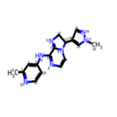 Cc1cc(NC2=NC=CN3C2=NCC3c2cnn(C)c2)ccn1